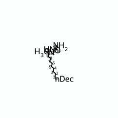 CCCCCCCCCCCCCCCCCCCC(C)=NNC(N)=O